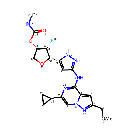 COCc1cc2c(Nc3cc([C@@H]4OC[C@H](OC(=O)NC(C)C)[C@@H]4F)[nH]n3)nc(C3CC3)cn2n1